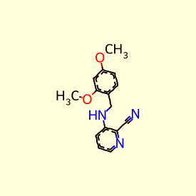 COc1ccc(CNc2cccnc2C#N)c(OC)c1